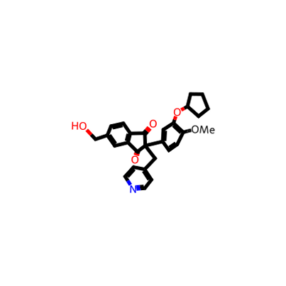 COc1ccc(C2(Cc3ccncc3)C(=O)c3ccc(CO)cc3C2=O)cc1OC1CCCC1